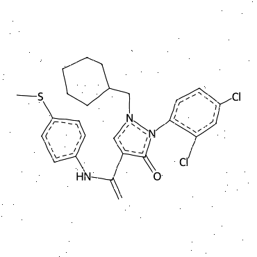 C=C(Nc1ccc(SC)cc1)c1cn(CC2CCCCC2)n(-c2ccc(Cl)cc2Cl)c1=O